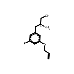 C=CCOc1cc(F)cc(C[C@H](N)CO)c1